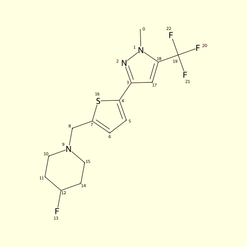 Cn1nc(-c2ccc(CN3CCC(F)CC3)s2)cc1C(F)(F)F